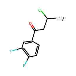 O=C(CC(Cl)C(=O)O)c1ccc(F)c(F)c1